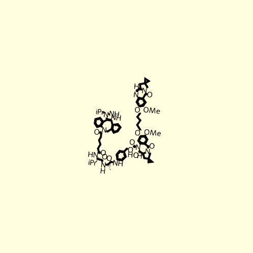 COc1cc2c(cc1OCCCCCOc1cc3c(cc1OC)C(=O)N1CC4(CC4)C[C@H]1C(O)N3C(=O)OCc1ccc(NC(=O)[C@H](C)NC(=O)[C@@H](NC(=O)CCCCC(=O)N3Cc4ccccc4C4=C(c5ccccc53)N(C(C)C)NN4)C(C)C)cc1)N=C[C@@H]1CC3(CC3)CN1C2=O